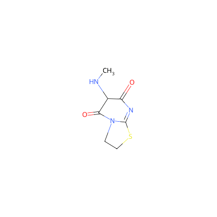 CNC1C(=O)N=C2SCCN2C1=O